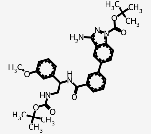 COc1cccc(C(CNC(=O)OC(C)(C)C)NC(=O)c2cccc(-c3ccc4c(c3)c(N)nn4C(=O)OC(C)(C)C)c2)c1